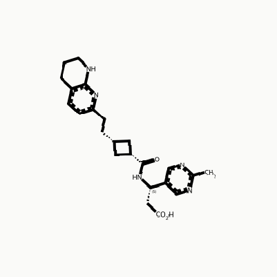 Cc1ncc([C@H](CC(=O)O)NC(=O)[C@H]2C[C@@H](CCc3ccc4c(n3)NCCC4)C2)cn1